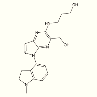 CN1CCc2c1cccc2-n1ncc2nc(NCCCO)c(CO)nc21